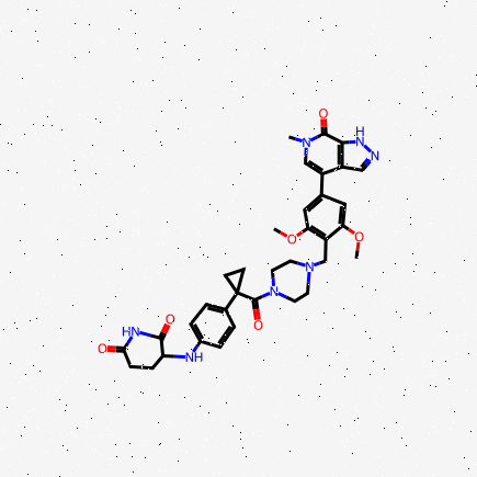 COc1cc(-c2cn(C)c(=O)c3[nH]ncc23)cc(OC)c1CN1CCN(C(=O)C2(c3ccc(NC4CCC(=O)NC4=O)cc3)CC2)CC1